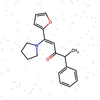 CC(C(=O)C=C(c1ccco1)N1CCCC1)c1ccccc1